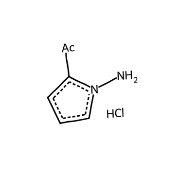 CC(=O)c1cccn1N.Cl